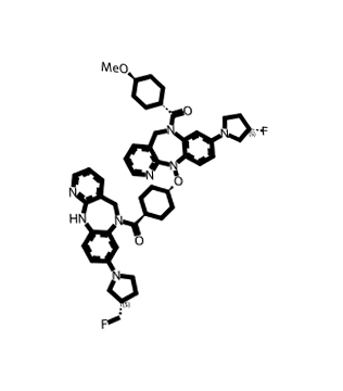 CO[C@H]1CC[C@H](C(=O)N2Cc3cccnc3N(O[C@H]3CC[C@H](C(=O)N4Cc5cccnc5Nc5ccc(N6CC[C@H](CF)C6)cc54)CC3)c3ccc(N4CC[C@H](F)C4)cc32)CC1